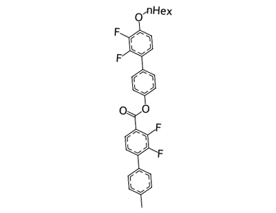 CCCCCCOc1ccc(-c2ccc(OC(=O)c3ccc(-c4ccc(C)cc4)c(F)c3F)cc2)c(F)c1F